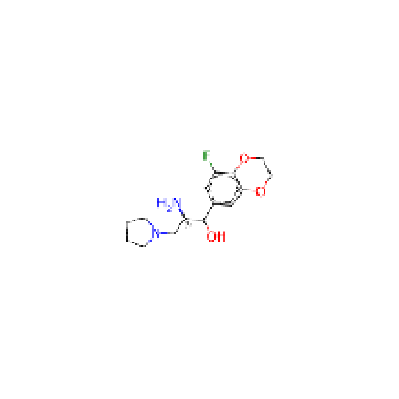 N[C@H](CN1CCCC1)C(O)c1cc(F)c2c(c1)OCCO2